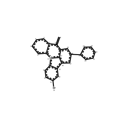 C=c1c2ccccc2n2c3ccc(Br)cc3c3cc(-c4ccccc4)cc1c32